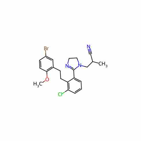 COc1ccc(Br)cc1CCc1c(Cl)cccc1C1=NCCN1CC(C)C#N